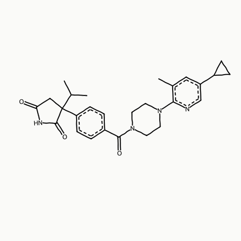 Cc1cc(C2CC2)cnc1N1CCN(C(=O)c2ccc(C3(C(C)C)CC(=O)NC3=O)cc2)CC1